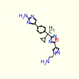 C[C@](c1ccc(-c2cnc(N)nc2)cc1)(c1noc(-c2cnn(CCN)c2)n1)C1CC1